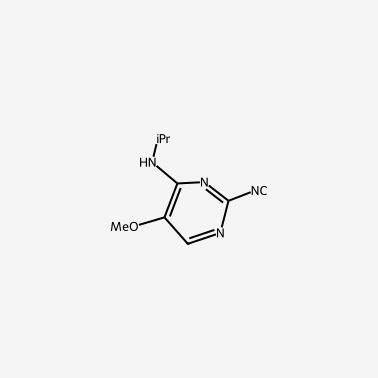 [C-]#[N+]c1ncc(OC)c(NC(C)C)n1